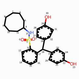 O=S(=O)(NC1CCCCCCC1)c1ccccc1C(c1ccc(O)cc1)c1ccc(O)cc1